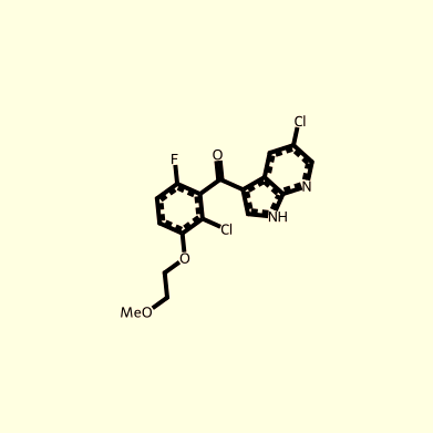 COCCOc1ccc(F)c(C(=O)c2c[nH]c3ncc(Cl)cc23)c1Cl